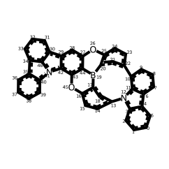 c1ccc2c(c1)c1cccc3c1n2-c1ccc2c(c1)B1c4cc-3ccc4Oc3cc4c5cccc6c7ccccc7n(c4c(c31)O2)c65